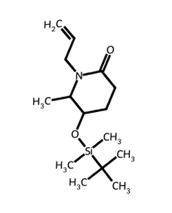 C=CCN1C(=O)CCC(O[Si](C)(C)C(C)(C)C)C1C